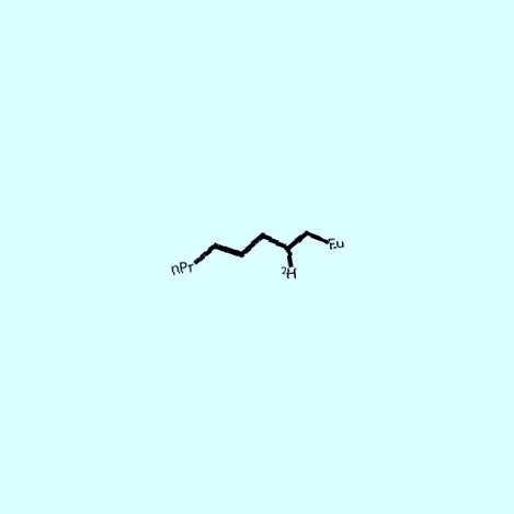 [2H]C([CH2][Eu])CCCCCC